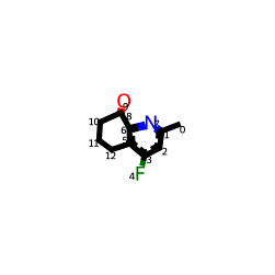 Cc1cc(F)c2c(n1)C(=O)CCC2